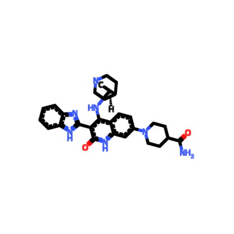 NC(=O)C1CCN(c2ccc3c(N[C@H]4CN5CCC4CC5)c(-c4nc5ccccc5[nH]4)c(=O)[nH]c3c2)CC1